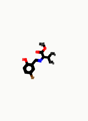 COC(=O)C(N=Cc1cc(Br)ccc1O)C(C)C